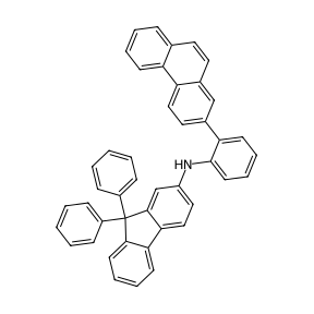 c1ccc(C2(c3ccccc3)c3ccccc3-c3ccc(Nc4ccccc4-c4ccc5c(ccc6ccccc65)c4)cc32)cc1